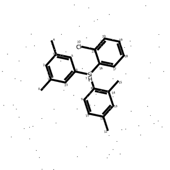 Cc1cc(C)cc([SiH](c2ccc(C)cc2C)c2ccccc2Cl)c1